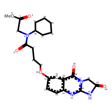 COC(=O)CN(C(=O)CCCOc1ccc2nc3n(c(=O)c2c1)CC(=O)N3)C1CCCCC1